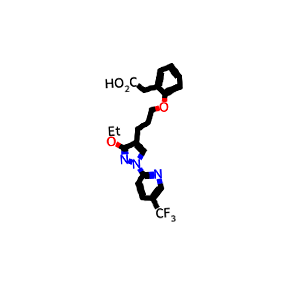 CCOc1nn(-c2ccc(C(F)(F)F)cn2)cc1CCCOc1ccccc1CC(=O)O